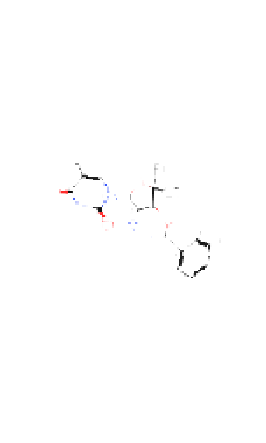 CCC1(CC)O[C@@H](n2cc(C)c(=O)[nH]c2=O)[C@@H](N)C1OCc1ccccc1